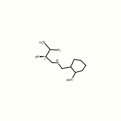 CCC[C@H](CNCC1CCCCC1SC)C(N)N